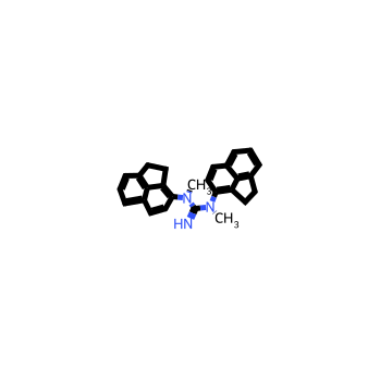 CN(C(=N)N(C)c1ccc2cccc3c2c1CC3)c1ccc2cccc3c2c1CC3